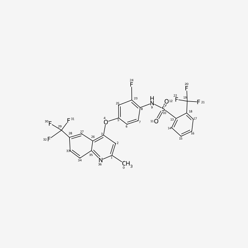 Cc1cc(Oc2ccc(NS(=O)(=O)c3ccccc3C(F)(F)F)c(F)c2)c2cc(C(F)(F)F)ccc2n1